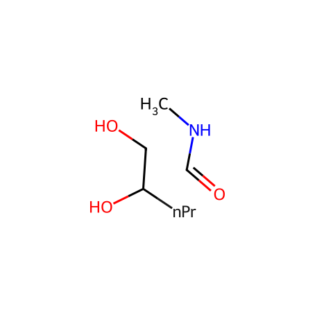 CCCC(O)CO.CNC=O